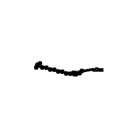 CCCCCCCCCCCCCCCCCCOc1ccc(Cn2cc(COCCOCCOCCOCCOCCOCCOCCOCCN3C(=O)C=CC3=O)nn2)cc1